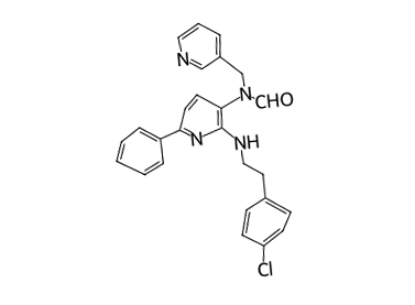 O=CN(Cc1cccnc1)c1ccc(-c2ccccc2)nc1NCCc1ccc(Cl)cc1